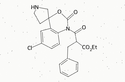 CCOC(=O)C(Cc1ccccc1)C(=O)N1C(=O)OC2(CCNC2)c2cc(Cl)ccc21